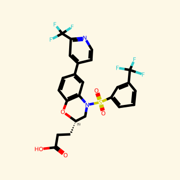 O=C(O)CC[C@H]1CN(S(=O)(=O)c2cccc(C(F)(F)F)c2)c2cc(-c3ccnc(C(F)(F)F)c3)ccc2O1